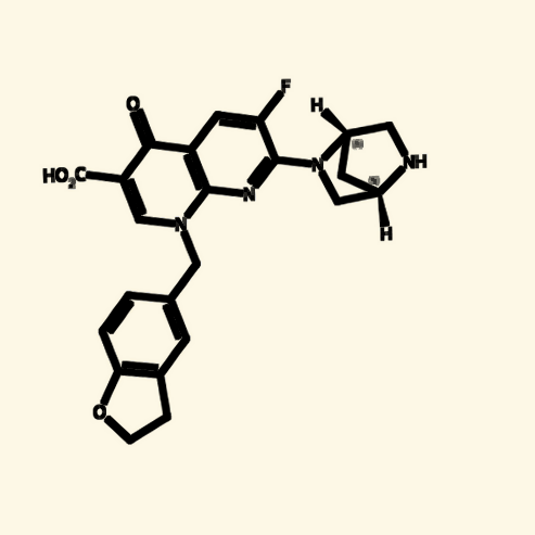 O=C(O)c1cn(Cc2ccc3c(c2)CCO3)c2nc(N3C[C@@H]4C[C@H]3CN4)c(F)cc2c1=O